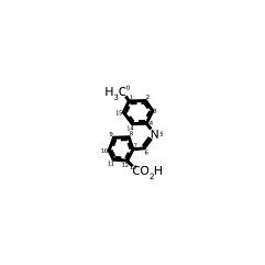 Cc1ccc(/N=C\c2ccccc2C(=O)O)cc1